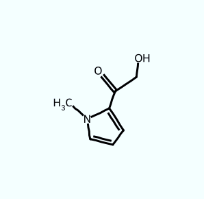 Cn1cccc1C(=O)CO